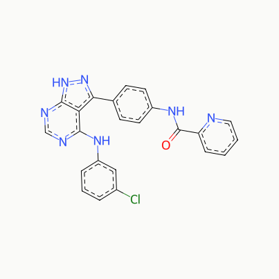 O=C(Nc1ccc(-c2n[nH]c3ncnc(Nc4cccc(Cl)c4)c23)cc1)c1ccccn1